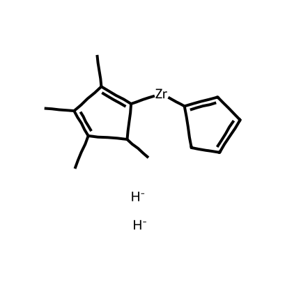 CC1=C(C)C(C)[C]([Zr][C]2=CC=CC2)=C1C.[H-].[H-]